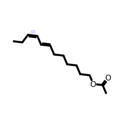 CC/C=C\C=CCCCCCCOC(C)=O